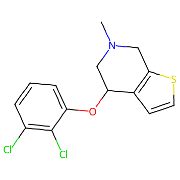 CN1Cc2sccc2C(Oc2cccc(Cl)c2Cl)C1